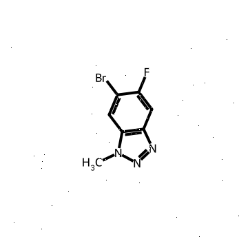 Cn1nnc2cc(F)c(Br)cc21